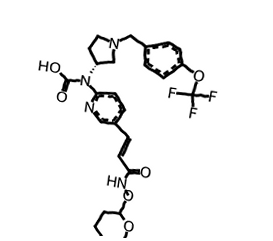 O=C(/C=C/c1ccc(N(C(=O)O)[C@@H]2CCN(Cc3ccc(OC(F)(F)F)cc3)C2)nc1)NOC1CCCCO1